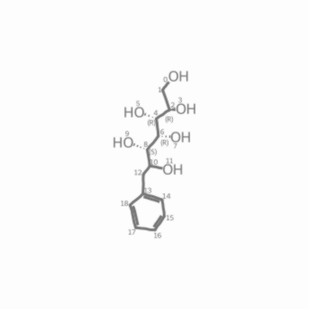 OC[C@@H](O)[C@@H](O)[C@H](O)[C@@H](O)C(O)Cc1ccccc1